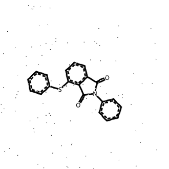 O=C1c2cccc(Sc3ccccc3)c2C(=O)N1c1ccccc1